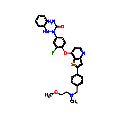 COCCN(C)Cc1ccc(-c2cc3nccc(Oc4ccc(N(Nc5ccccc5)C(N)=O)cc4F)c3s2)cc1